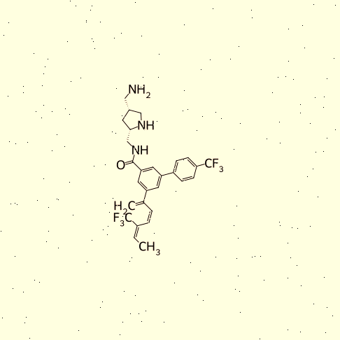 C=C(/C=C\C(=C/C)C(F)(F)F)c1cc(C(=O)NC[C@@H]2C[C@H](CN)CN2)cc(-c2ccc(C(F)(F)F)cc2)c1